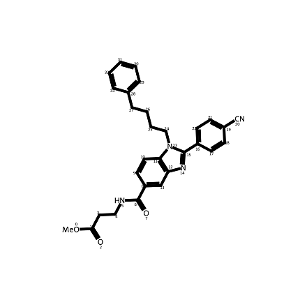 COC(=O)CCNC(=O)c1ccc2c(c1)nc(-c1ccc(C#N)cc1)n2CCCCc1ccccc1